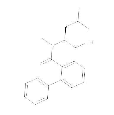 CC(C)C[C@@H](CO)N(C)C(=O)c1ccccc1-c1ccccc1